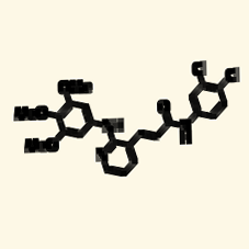 COc1cc(Nc2ncccc2/C=C/C(=O)Nc2ccc(Cl)c(Cl)c2)cc(OC)c1OC